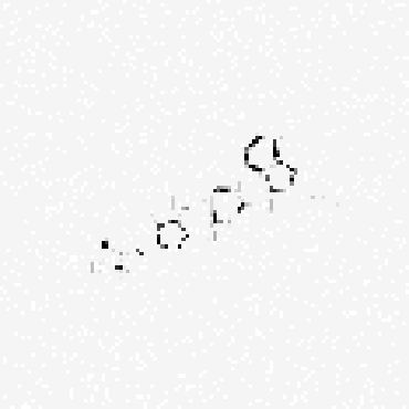 CO[C@H]1Cc2ccccc2[C@H]1Nc1ncnc(N[C@@H]2C[C@H](COS(N)(=O)=O)[C@@H](O)[C@H]2O)n1